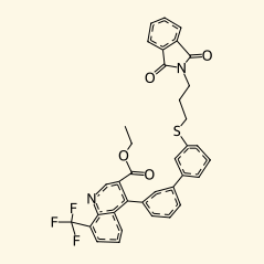 CCOC(=O)c1cnc2c(C(F)(F)F)cccc2c1-c1cccc(-c2cccc(SCCCN3C(=O)c4ccccc4C3=O)c2)c1